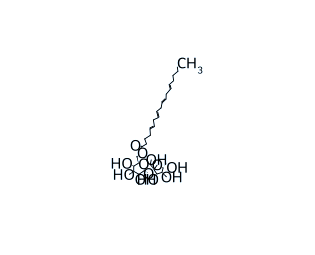 CCCCCC=CCC=CCC=CCC=CCCCC(=O)OC[C@H]1O[C@H](O[C@]2(CO)O[C@H](CO)[C@@H](O)[C@@H]2O)[C@H](O)[C@@H](O)[C@@H]1O